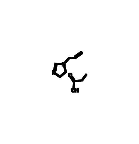 C=CCN1C=NCC1.CCC(=O)O